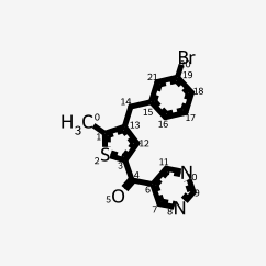 Cc1sc(C(=O)c2cncnc2)cc1Cc1cccc(Br)c1